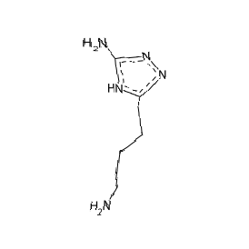 NCCCc1nnc(N)[nH]1